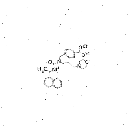 CCOC(OCC)c1ccc(CN(CCCN2CCOCC2)C(=O)NC(C)c2cccc3ccccc23)cc1